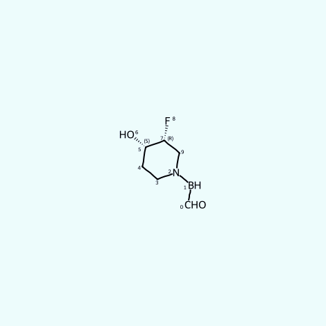 O=CBN1CC[C@H](O)[C@H](F)C1